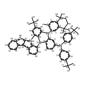 Cc1cc2c(cc1N1c3cc(N(c4ccc(C(C)(C)C)cc4)c4ccc(C(C)(C)C)cc4)ccc3B3c4c1cc(C(C)(C)C)cc4-n1c4sc5ccccc5c4c4cccc3c41)C(C)(C)CCC2(C)C